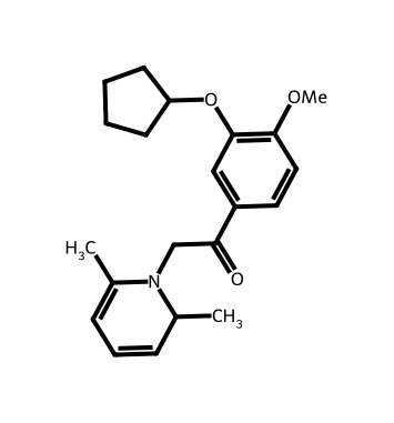 COc1ccc(C(=O)CN2C(C)=CC=CC2C)cc1OC1CCCC1